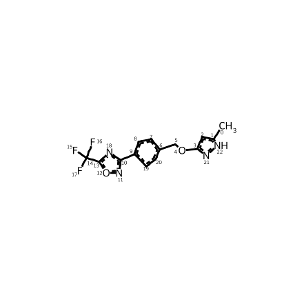 Cc1cc(OCc2ccc(-c3noc(C(F)(F)F)n3)cc2)n[nH]1